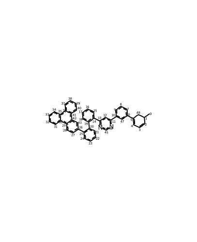 CC1C=CC=C(c2cccc(-c3cc(-c4ccccc4-c4ccccc4-c4ccc5c6ccccc6c6ccccc6c5c4)ncn3)c2)C1